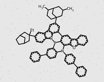 CCC1(c2ccc3c(c2)c2cc(C45CCC(C)C(CC(C)C4)C5)cc4c2n3B2c3cc(-c5ccccc5)ccc3N(c3ccc(-c5ccccc5)cc3)c3c2c-4cc2c3oc3ccccc32)CC2CCC(C2)C1